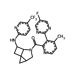 Cc1ccnc(C(=O)N2CC3CC34CC(Nc3ccc(C(F)(F)F)cn3)C24)c1-c1ncc(F)cn1